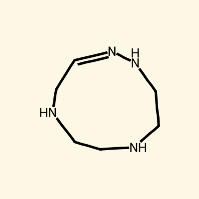 C1=NNCCNCCNC1